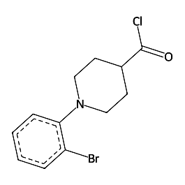 O=C(Cl)C1CCN(c2ccccc2Br)CC1